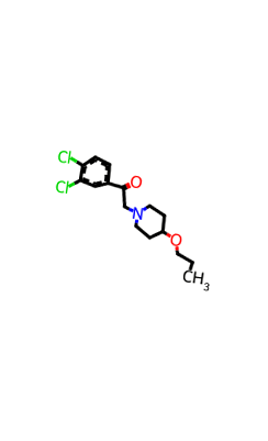 CCCOC1CCN(CC(=O)c2ccc(Cl)c(Cl)c2)CC1